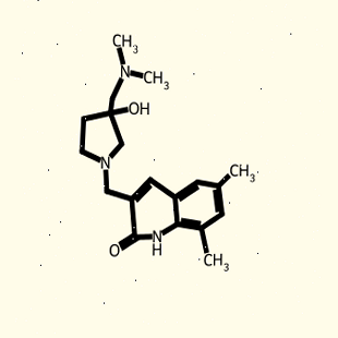 Cc1cc(C)c2[nH]c(=O)c(CN3CCC(O)(CN(C)C)C3)cc2c1